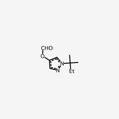 CCC(C)(C)n1cc(O[C]=O)cn1